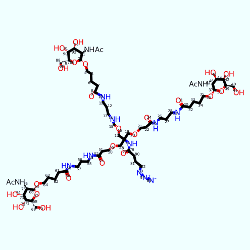 CC(=O)N[C@H]1[C@H](OCCCCC(=O)NCCCNCOCC(COCCC(=O)NCCCNC(=O)CCCCO[C@@H]2O[C@H](CO)[C@H](O)[C@H](O)[C@H]2NC(C)=O)(COCCC(=O)NCCCNC(=O)CCCCO[C@@H]2O[C@H](CO)[C@H](O)[C@H](O)[C@H]2NC(C)=O)NC(=O)CCCN=[N+]=[N-])O[C@H](CO)[C@H](O)[C@@H]1O